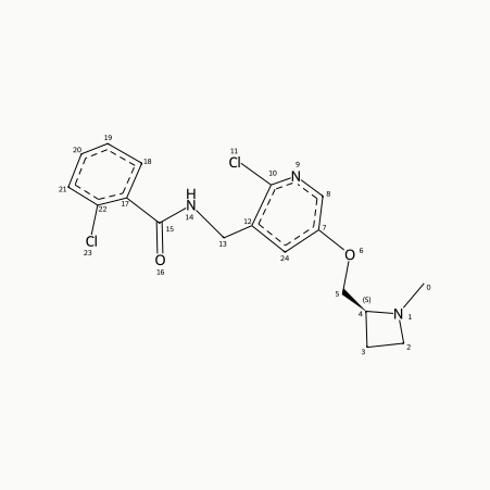 CN1CC[C@H]1COc1cnc(Cl)c(CNC(=O)c2ccccc2Cl)c1